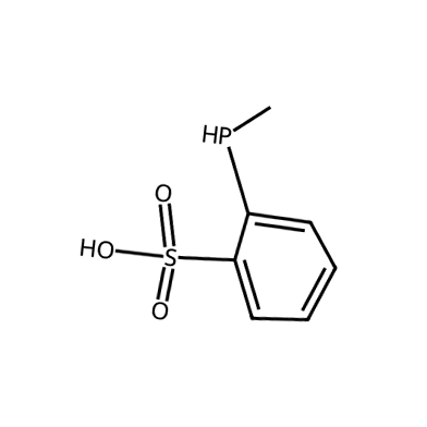 CPc1ccccc1S(=O)(=O)O